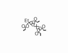 C=CC(=O)OCC(C)(COCC(CC)(COC(=O)C=C)COC(=O)C=C)COC(=O)C=C